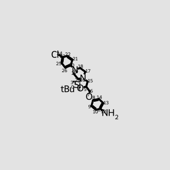 CC(C)(C)[Si](C)(C)OC(COc1ccc(N)cc1)CN1CCN(c2ccc(Cl)cc2)CC1